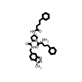 Cn1nnc2cc(CNC(=O)[C@@H]3C[C@H](NC(=O)CCCc4ccccc4)CN3C(=O)[C@H](N)CCc3ccccc3)ccc21